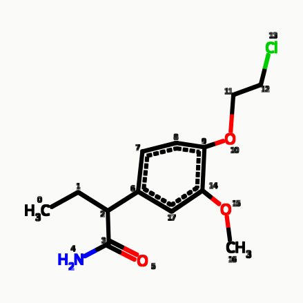 CCC(C(N)=O)c1ccc(OCCCl)c(OC)c1